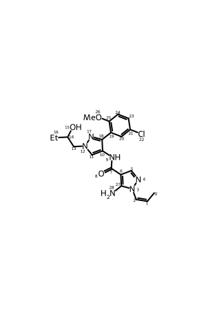 C/C=C\n1ncc(C(=O)Nc2cn(CC(O)CC)nc2-c2cc(Cl)ccc2OC)c1N